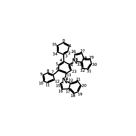 c1ccc(-c2cc(-c3ccccc3)c(-n3ccc4ccccc43)cc2-n2ccc3ccccc32)cc1